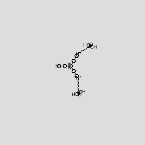 O=P(O)(O)CCCCCCCC[n+]1ccc(-c2ccc(-c3cc(-c4ccc(-c5cc[n+](CCCCCCCCP(=O)(O)O)cc5)cc4)nc(-c4ccc(-c5ccncc5)cc4)n3)cc2)cc1